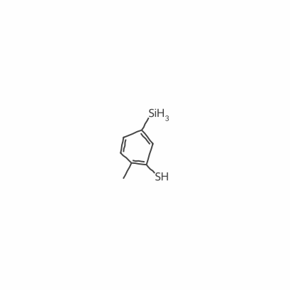 Cc1ccc([SiH3])cc1S